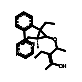 CC/C(=C(\C)O)C(C)OC1C(CC)(c2ccccc2-c2cnccn2)[C@]1(C)CC